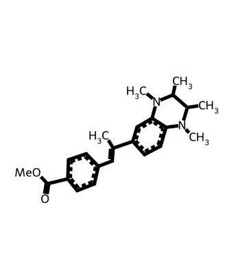 COC(=O)c1ccc(C=C(C)c2ccc3c(c2)N(C)C(C)C(C)N3C)cc1